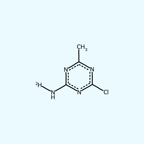 [2H]Nc1nc(C)nc(Cl)n1